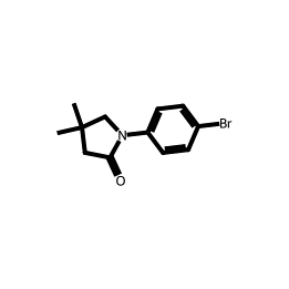 CC1(C)CC(=O)N(c2ccc(Br)cc2)C1